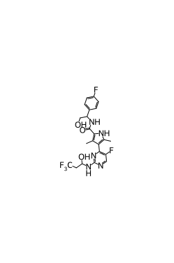 Cc1[nH]c(C(=O)NC(CO)c2ccc(F)cc2)c(C)c1-c1nc(NC(O)CC(F)(F)F)ncc1F